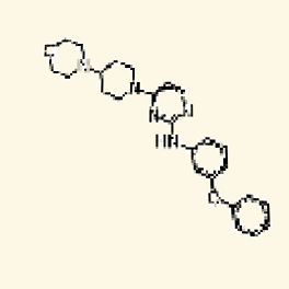 c1ccc(Oc2cccc(Nc3nccc(N4CCC(N5CCOCC5)CC4)n3)c2)cc1